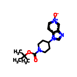 CC(C)(C)OC(=O)N1CCC(n2cnc3c[n+]([O-])ccc32)CC1